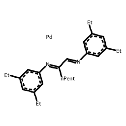 CCCCCC(/C=N/c1cc(CC)cc(CC)c1)=N\c1cc(CC)cc(CC)c1.[Pd]